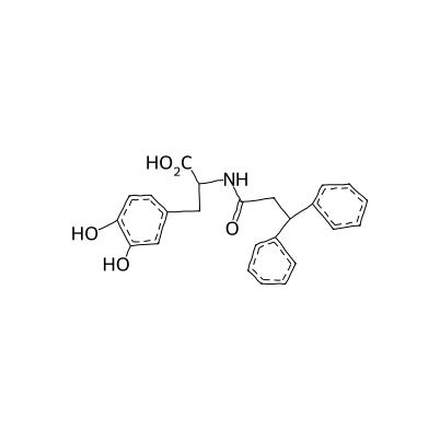 O=C(CC(c1ccccc1)c1ccccc1)NC(Cc1ccc(O)c(O)c1)C(=O)O